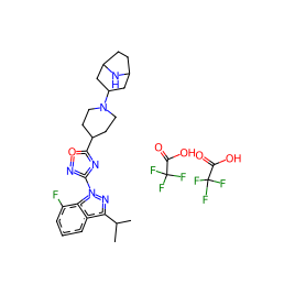 CC(C)c1nn(-c2noc(C3CCN(C4CC5CCC(C4)N5)CC3)n2)c2c(F)cccc12.O=C(O)C(F)(F)F.O=C(O)C(F)(F)F